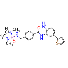 CN(C)P(=O)(NCc1ccc(C(=O)Nc2cc(-c3cccs3)ccc2N)cc1)N(C)C